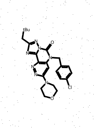 CC(C)(C)Cc1nc2c3nnc(N4CCOCC4)cc3n(Cc3ccc(Cl)cc3)c(=O)n2n1